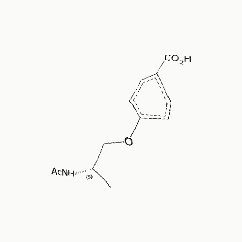 CC(=O)N[C@@H](C)COc1ccc(C(=O)O)cc1